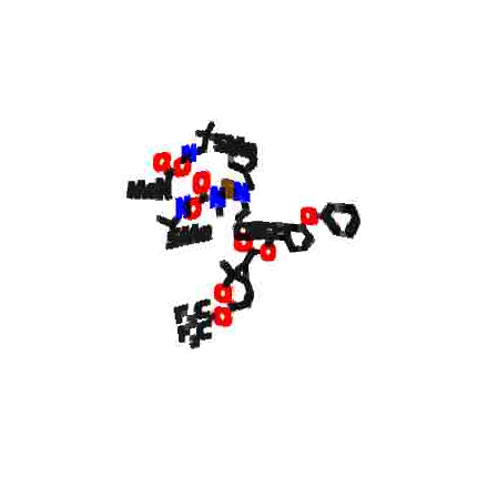 CC1(C)C(/C=C\C(=O)OC(C(F)(F)F)C(F)(F)F)C1C(=O)OC(C#N)c1cccc(Oc2ccccc2)c1.CCOC(=O)CCN(Cc1ccccc1)SN(C)C(=O)O/N=C(/C)SC.CNC(=O)O/N=C/C(C)(C)SC